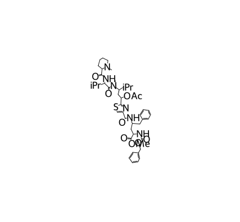 COC(=O)C(CC(Cc1ccccc1)NC(=O)c1csc(C(CC(C(C)C)N(C)C(=O)C(NC(=O)C2CCCCN2C)C(C)C)OC(C)=O)n1)NC(=O)OCc1ccccc1